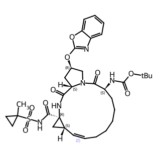 CC(C)(C)OC(=O)N[C@H]1CCCCC/C=C\[C@@H]2C[C@@]2(C(=O)NS(=O)(=O)C2(C)CC2)NC(=O)[C@@H]2C[C@@H](Oc3nc4ccccc4o3)CN2C1=O